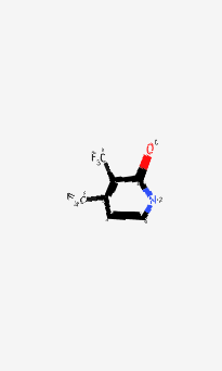 O=C1[N][C]=CC(C(F)(F)F)=C1C(F)(F)F